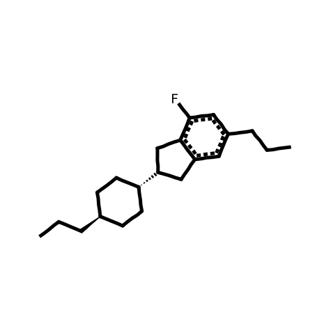 CCCc1cc(F)c2c(c1)CC([C@H]1CC[C@H](CCC)CC1)C2